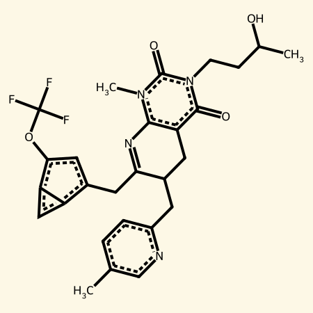 Cc1ccc(CC2Cc3c(n(C)c(=O)n(CCC(C)O)c3=O)N=C2Cc2cc(OC(F)(F)F)c3cc2-3)nc1